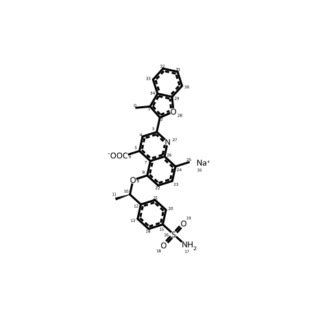 Cc1c(-c2cc(C(=O)[O-])c3c(O[C@H](C)c4ccc(S(N)(=O)=O)cc4)ccc(C)c3n2)oc2ccccc12.[Na+]